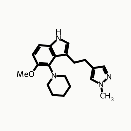 COc1ccc2[nH]cc(CCc3cnn(C)c3)c2c1N1CCCCC1